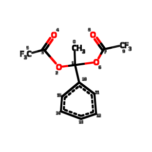 CC(OC(=O)C(F)(F)F)(OC(=O)C(F)(F)F)c1ccccc1